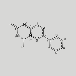 C=C(Br)/N=c1/ccc(-c2ccccc2)cn1CC